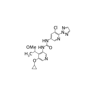 COC(C)c1c(NC(=O)Nc2cnc(-n3nccn3)c(Cl)c2)cncc1OC1CC1